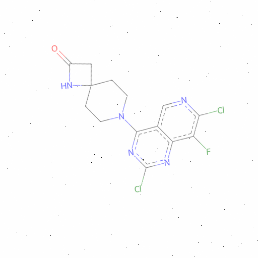 O=C1CC2(CCN(c3nc(Cl)nc4c(F)c(Cl)ncc34)CC2)N1